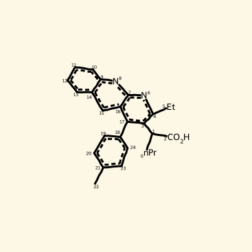 CCCC(C(=O)O)c1c(CC)nc2nc3ccccc3cc2c1-c1ccc(C)cc1